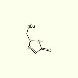 CCCCCn1ncc(=O)[nH]1